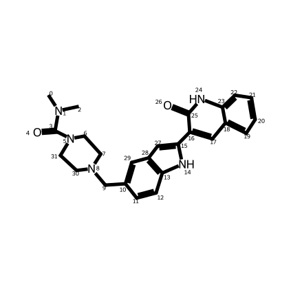 CN(C)C(=O)N1CCN(Cc2ccc3[nH]c(-c4cc5ccccc5[nH]c4=O)cc3c2)CC1